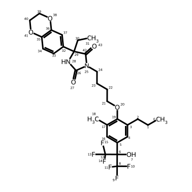 CCCc1cc(C(O)(C(F)(F)F)C(F)(F)F)cc(C)c1OCCCCN1C(=O)NC(CC)(c2ccc3c(c2)OCCO3)C1=O